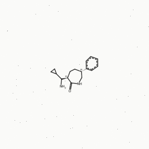 NC(C1CC1)[C@H]1CC[C@H](c2ccccc2)CNC1=O